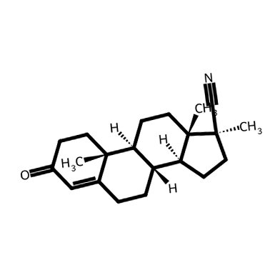 C[C@]12CCC(=O)C=C1CC[C@@H]1[C@@H]2CC[C@@]2(C)[C@H]1CC[C@]2(C)C#N